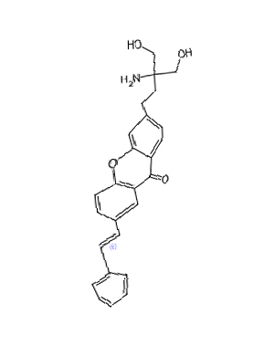 NC(CO)(CO)CCc1ccc2c(=O)c3cc(/C=C/c4ccccc4)ccc3oc2c1